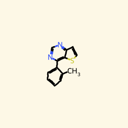 Cc1ccccc1-c1ncnc2ccsc12